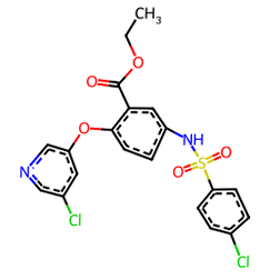 CCOC(=O)c1cc(NS(=O)(=O)c2ccc(Cl)cc2)ccc1Oc1cncc(Cl)c1